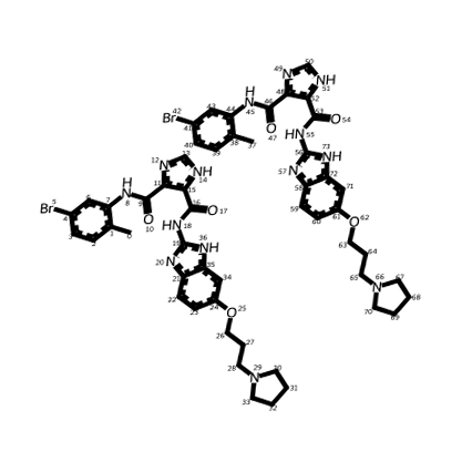 Cc1ccc(Br)cc1NC(=O)c1nc[nH]c1C(=O)Nc1nc2ccc(OCCCN3CCCC3)cc2[nH]1.Cc1ccc(Br)cc1NC(=O)c1nc[nH]c1C(=O)Nc1nc2ccc(OCCCN3CCCC3)cc2[nH]1